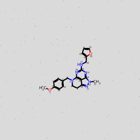 COc1ccc(CN2CCc3nn(C)c4nc(NCc5ccco5)nc2c34)cc1